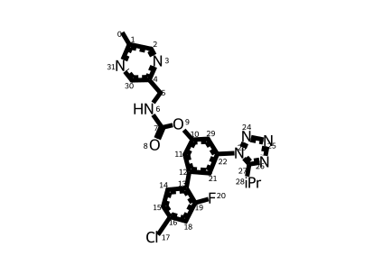 Cc1cnc(CNC(=O)Oc2cc(-c3ccc(Cl)cc3F)cc(-n3nnnc3C(C)C)c2)cn1